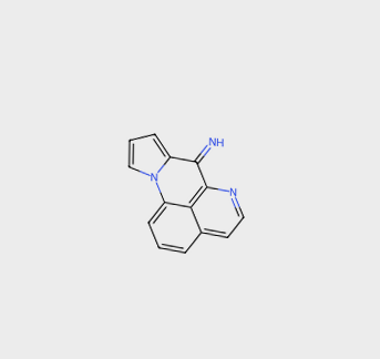 N=c1c2nccc3cccc(c32)n2cccc12